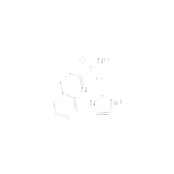 NS(=O)(=O)c1ccc2ccccc2n1.c1c[nH]cn1